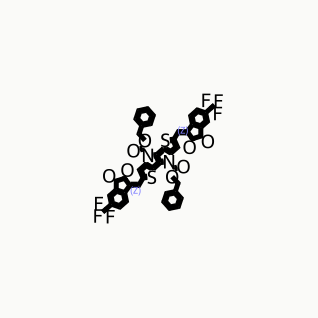 O=C1C(=O)c2cc(C(F)(F)F)ccc2/C1=C/c1cc2c(s1)c1c(c3sc(/C=C4\C(=O)C(=O)c5cc(C(F)(F)F)ccc54)cc3n1C(=O)OCc1ccccc1)n2C(=O)OCc1ccccc1